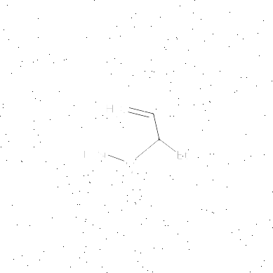 C=CC(CC)O[SiH3]